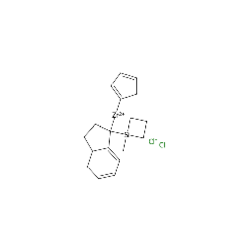 C[Si]1([C]2([Zr+2][C]3=CC=CC3)CCC3CC=CC=C32)CCC1.[Cl-].[Cl-]